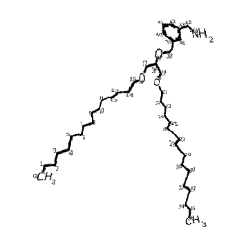 CCCCCCCCCCCCCCCCOCC(COCCCCCCCCCCCCCCCC)OCc1cccc(CN)c1